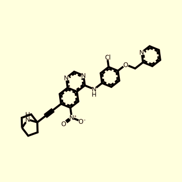 O=[N+]([O-])c1cc2c(Nc3ccc(OCc4ccccn4)c(Cl)c3)ncnc2cc1C#CC12CCC(CC1)N2